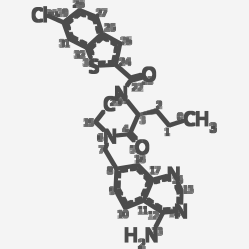 CCC[C@H]1C(=O)N(Cc2ccc3c(N)ncnc3c2)CCN1C(=O)c1cc2ccc(Cl)cc2s1